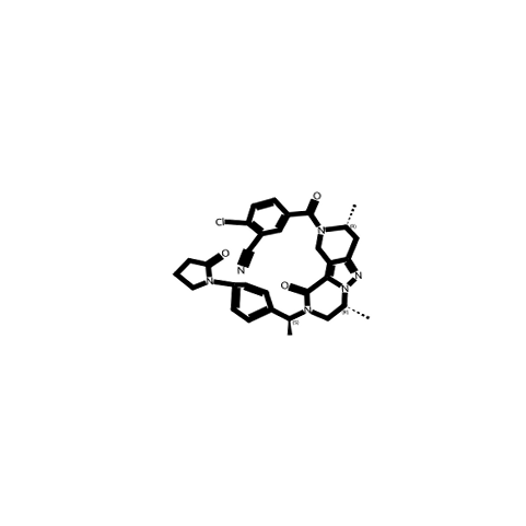 C[C@@H]1Cc2nn3c(c2CN1C(=O)c1ccc(Cl)c(C#N)c1)C(=O)N([C@@H](C)c1ccc(N2CCCC2=O)cc1)C[C@H]3C